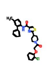 Cc1ccc(NC(=O)c2csc(C3CCN(C(=O)COc4ccccc4Cl)CC3)n2)c(-c2ccccc2)c1